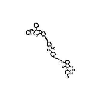 O=C1CCC(N2C(=O)c3cccc(NCCCCN4CCC(NC(=O)c5ccc(C#Cc6ccc7c(c6)C(=O)N(C(C(=O)Nc6ccccn6)c6ccccc6)C7)cn5)CC4)c3C2=O)C(O)N1